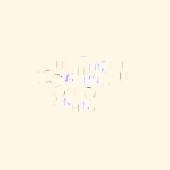 CCN(CCN(C)c1c(F)cc2c(=O)c(C(=O)O)cn3c2c1OCN3C)c1ccc(NC(=O)[C@H](NC(C)=O)C(C)C)cc1F